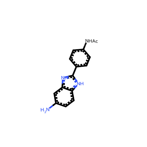 CC(=O)Nc1ccc(-c2nc3cc(N)ccc3[nH]2)cc1